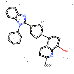 O=C([O-])c1ccc2c(-c3ccc(-c4nc5ccccc5n4-c4ccccc4)cc3)ccc(O)c2n1.[Li+]